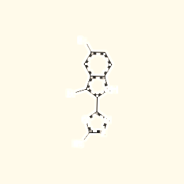 CCc1c(-c2nnc(S)o2)[nH]c2ccc(Br)cc12